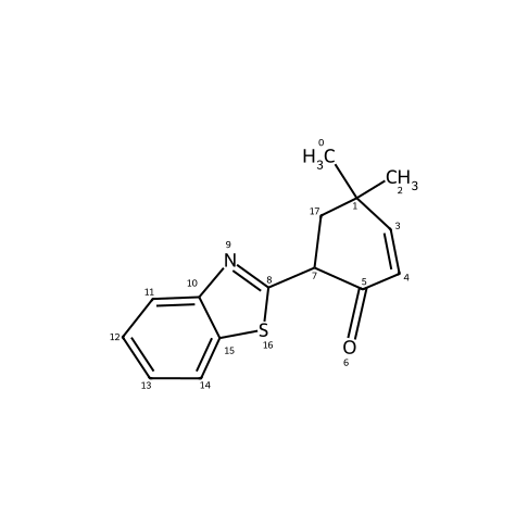 CC1(C)C=CC(=O)C(c2nc3ccccc3s2)C1